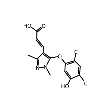 Cc1nn(C)c(Oc2cc(O)c(Cl)cc2Cl)c1C=CC(=O)O